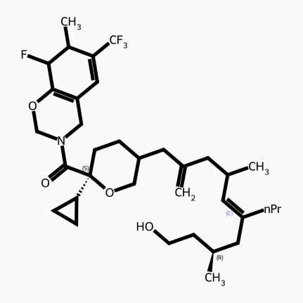 C=C(CC(C)/C=C(\CCC)C[C@@H](C)CCO)CC1CC[C@@](C(=O)N2COC3=C(C=C(C(F)(F)F)C(C)C3F)C2)(C2CC2)OC1